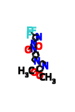 COc1cc2nccc(N3CCc4cc(N5C(=O)CN(c6cncc(C(F)(F)F)c6)C5=O)ccc43)c2cc1OC